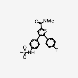 CNC(=O)c1cc(-c2ccc(NS(C)(=O)=O)cc2)c(-c2ccc(F)cc2)s1